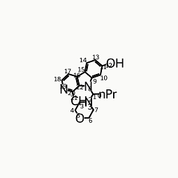 CCCC(N1CCOCC1)n1c2cc(O)ccc2c2ccnc(C)c21